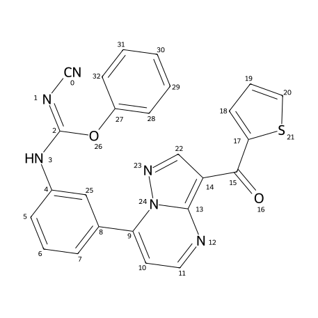 N#C/N=C(/Nc1cccc(-c2ccnc3c(C(=O)c4cccs4)cnn23)c1)Oc1ccccc1